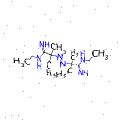 CCNC(=N)C(C)(C)/N=N/C(C)(C)C(=N)NCC